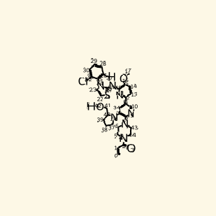 C=CC(=O)N1CCN(c2ncc(-c3ccc(OC)c(N[C@H]4SC=CN4c4c(C)cccc4Cl)n3)cc2N2CCCC2CO)CC1